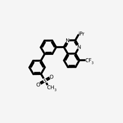 CC(C)c1nc(-c2cccc(-c3cccc(S(C)(=O)=O)c3)c2)c2cccc(C(F)(F)F)c2n1